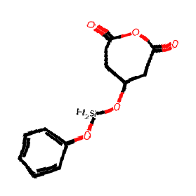 O=C1CC(O[SiH2]Oc2ccccc2)CC(=O)O1